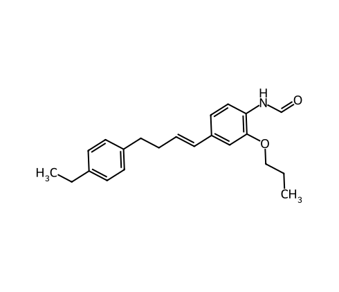 CCCOc1cc(/C=C/CCc2ccc(CC)cc2)ccc1NC=O